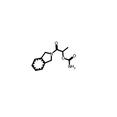 CC(OC(N)=O)C(=O)N1Cc2ccccc2C1